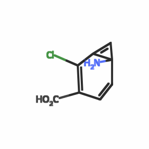 NC12C=CC(C(=O)O)=C(Cl)C1=C2